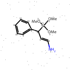 CO[Si](OC)(OC)C(C=CN)c1ccccc1